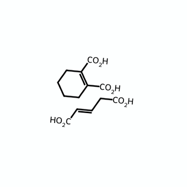 O=C(O)C1=C(C(=O)O)CCCC1.O=C(O)C=CCC(=O)O